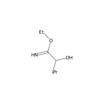 CCOC(=N)C(O)C(C)C